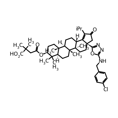 CC(C)C1=C2[C@H]3CC[C@@H]4[C@@]5(C)CC[C@H](OC(=O)CC(C)(C)C(=O)O)C(C)(C)[C@@H]5CC[C@@]4(C)[C@]3(C)CC[C@@]2(c2nnc(NCc3ccc(Cl)cc3)o2)CC1=O